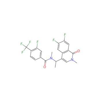 CC(c1cn(C)c(=O)c2cc(F)c(F)cc12)N(C)C(=O)c1ccc(C(F)(F)F)c(F)c1